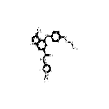 COOSc1ccc(Oc2cc(C(=O)Nc3ccn(C)n3)cc3scc(C)c23)cc1